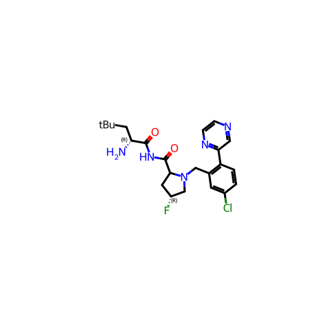 CC(C)(C)C[C@@H](N)C(=O)NC(=O)C1C[C@@H](F)CN1Cc1cc(Cl)ccc1-c1cnccn1